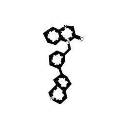 O=c1cnc2ccccc2n1Cc1cccc(-c2ccc3ccncc3c2)c1